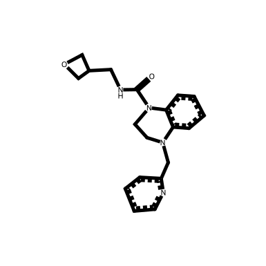 O=C(NCC1COC1)N1CCN(Cc2ccccn2)c2ccccc21